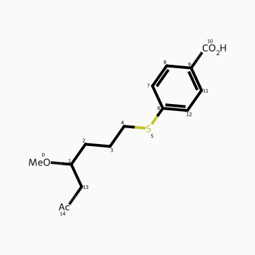 COC(CCCSc1ccc(C(=O)O)cc1)CC(C)=O